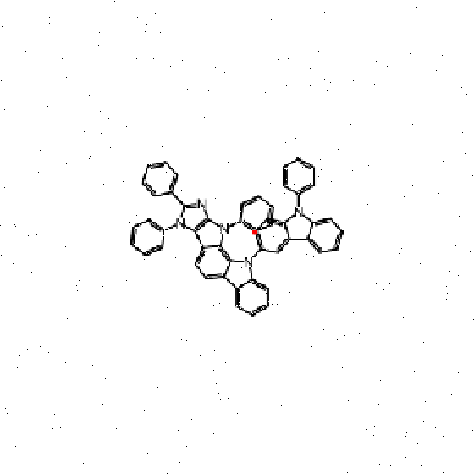 c1ccc(-c2nc3c(c4ccc5c6ccccc6n(-c6ccc7c(c6)c6ccccc6n7-c6ccccc6)c5c4n3-c3ccccc3)n2-c2ccccc2)cc1